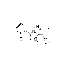 Cn1c(-c2ccccc2O)cnc1CN1CCC1